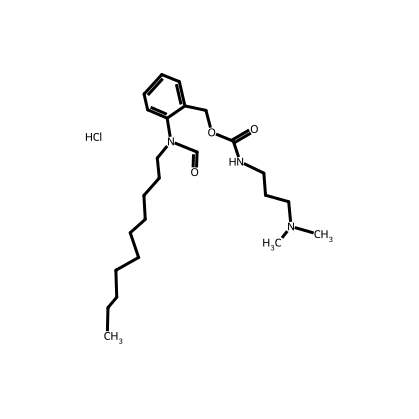 CCCCCCCCCCN(C=O)c1ccccc1COC(=O)NCCCN(C)C.Cl